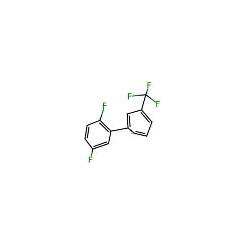 Fc1ccc(F)c(-c2[c]ccc(C(F)(F)F)c2)c1